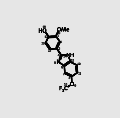 COc1cc(-c2nc3cc(OC(F)(F)F)ccc3[nH]2)ccc1O